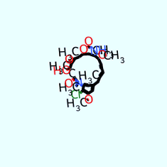 COc1cc2cc(c1Cl)N(C)C(=O)CC(O)C1(C)OC1C(C)C1CC(C)(NC(=O)O1)C(OC)/C=C/C=C(\C)C2